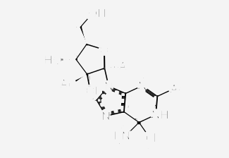 CC(=O)C1=Nc2c(ncn2[C@]2(C(C)=O)O[C@H](CO)[C@@H](O)[C@]2(O)C(C)=O)C(N)(Cl)N1